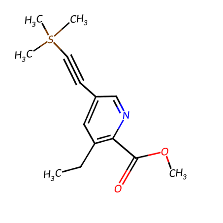 CCc1cc(C#CS(C)(C)C)cnc1C(=O)OC